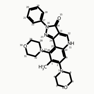 Cc1c(N2CCOCC2)cc2[nH]cc3c(=O)n(-c4ccccc4)nc-3c2c1N1CCOCC1